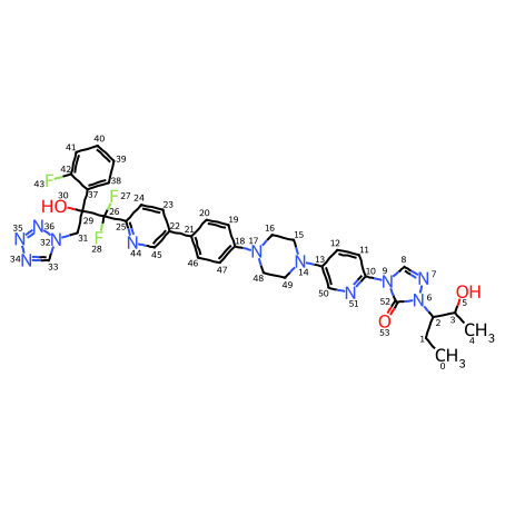 CCC(C(C)O)n1ncn(-c2ccc(N3CCN(c4ccc(-c5ccc(C(F)(F)C(O)(Cn6cnnn6)c6ccccc6F)nc5)cc4)CC3)cn2)c1=O